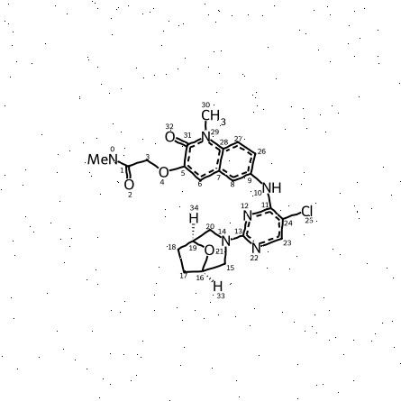 CNC(=O)COc1cc2cc(Nc3nc(N4C[C@H]5CC[C@@H](C4)O5)ncc3Cl)ccc2n(C)c1=O